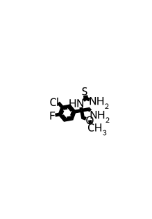 COCC(CN)(NC(N)=S)c1ccc(F)c(Cl)c1